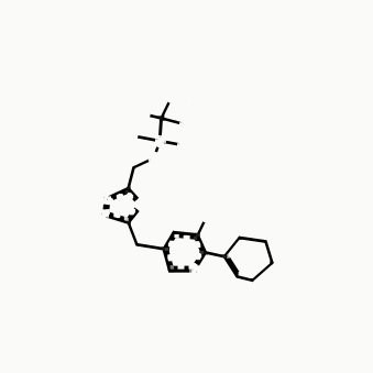 CC(C)(C)[Si](C)(C)OCc1nnc(Cc2cnc(C3=CCCCC3)c(Cl)c2)o1